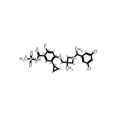 CC(c1cc(Cl)cc(Cl)c1)N1CC(C)(COc2cc(F)c(C(=O)NS(C)(=O)=O)cc2C2CC2)C1